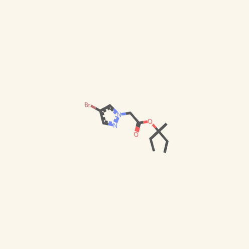 CCC(C)(CC)OC(=O)Cn1cc(Br)cn1